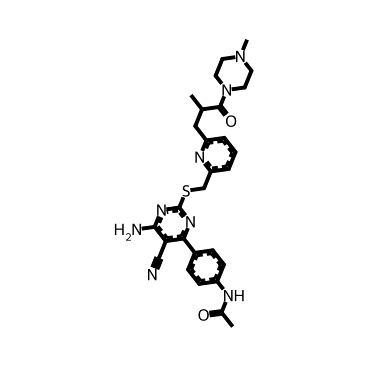 CC(=O)Nc1ccc(-c2nc(SCc3cccc(CC(C)C(=O)N4CCN(C)CC4)n3)nc(N)c2C#N)cc1